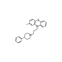 Cc1ccc2c(c1)N(CCCN1CCC(c3ccccc3)CC1)c1ccccc1S2